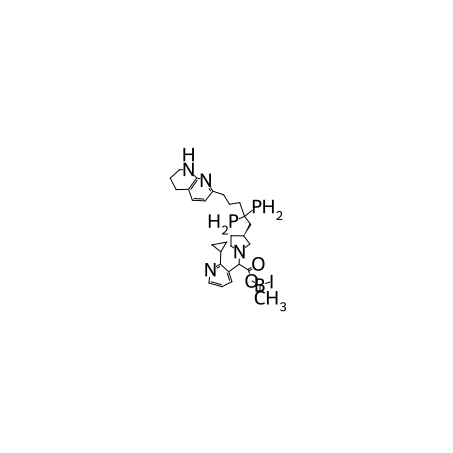 CB(I)OC(=O)C(c1cccnc1C1CC1)N1CC[C@@H](CC(P)(P)CCCc2ccc3c(n2)NCCC3)C1